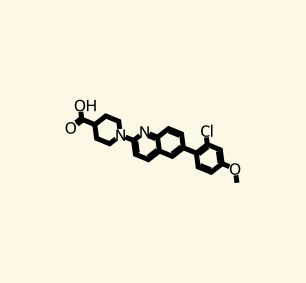 COc1ccc(-c2ccc3nc(N4CCC(C(=O)O)CC4)ccc3c2)c(Cl)c1